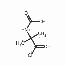 CC(C)(NC(=O)Cl)C(=O)Cl